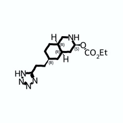 CCOC(=O)O[C@H]1C[C@H]2C[C@@H](CCc3nnn[nH]3)CC[C@H]2CN1